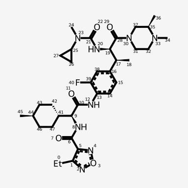 CCc1nonc1C(=O)N[C@H](C(=O)Nc1ccc([C@H](C)[C@@H](NC(=O)N(C)C2CC2)C(=O)N2CCN(C)[C@H](C)C2)cc1F)[C@H]1CC[C@H](C)CC1